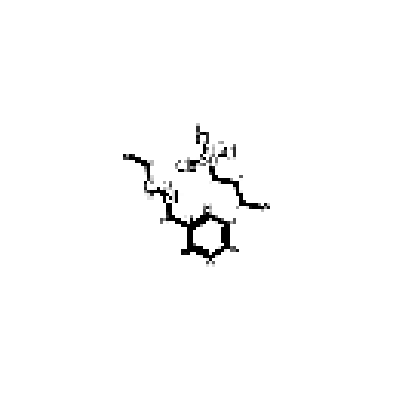 CCC[CH2][Sn]([Cl])([Cl])[Cl].CCONCc1ccccc1